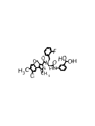 Cc1cc2c(cc1Cl)-c1c(c(C(=O)N(CC(=O)Nc3cccc(C(O)O)c3)Cc3ccccc3F)nn1C)CO2